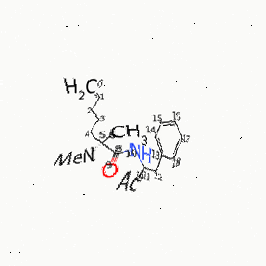 C=CCCC[C@](C)(NC)C(=O)N[C@@H](Cc1ccccc1)C(C)=O